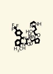 Cc1cccc2c1NC(=O)C(NC(=O)C1(NC(=O)[C@H](O)Cc3ncc[nH]3)CCCC1)N=C2c1ccc(C(F)(F)F)cc1